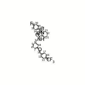 O=C(NCc1cccc(OCc2ccc(C(F)(F)F)cc2)c1)[C@@H]1CCCCN1S(=O)(=O)c1ccc(F)cc1